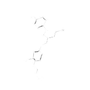 Cc1cc(SCC(CCC#N)COc2ccc(C(F)(F)F)cc2)ccc1OCOC=O